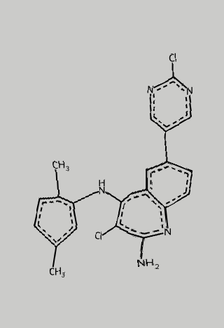 Cc1ccc(C)c(Nc2c(Cl)c(N)nc3ccc(-c4cnc(Cl)nc4)cc23)c1